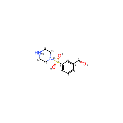 O=Cc1cccc(S(=O)(=O)N2CCNCC2)c1